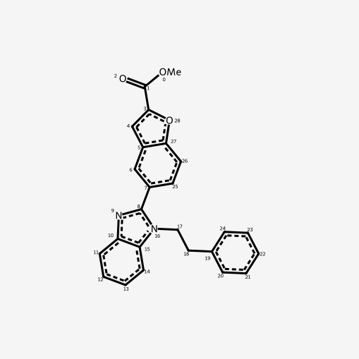 COC(=O)c1cc2cc(-c3nc4ccccc4n3CCc3ccccc3)ccc2o1